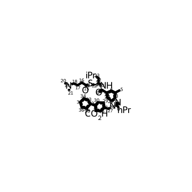 CCCc1nc2c(C)cc(C(=O)N[C@@H](CSC(=O)CCCN(C)C)CC(C)C)cc2n1Cc1ccc(-c2ccccc2C(=O)O)cc1